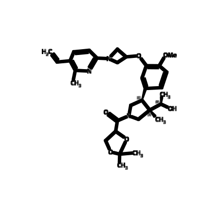 C=Cc1ccc(N2CC(Oc3cc([C@@H]4CN(C(=O)C5COC(C)(C)O5)C[C@@]4(C)[C@@H](C)O)ccc3OC)C2)nc1C